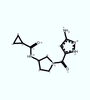 Nc1cc(C(=O)N2CCC(NC(=O)C3CC3)C2)[nH]n1